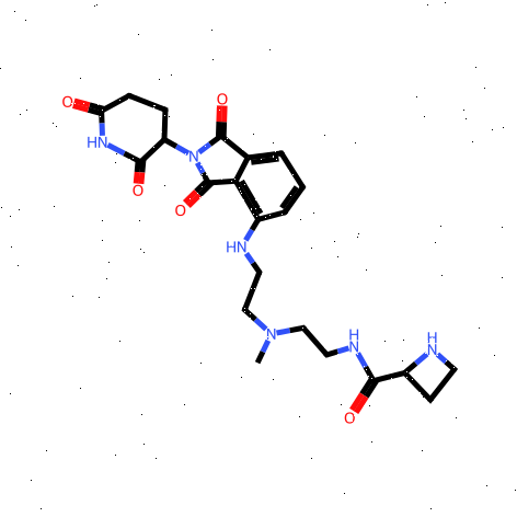 CN(CCNC(=O)C1CCN1)CCNc1cccc2c1C(=O)N(C1CCC(=O)NC1=O)C2=O